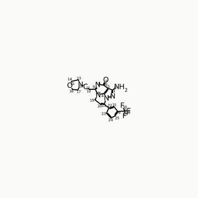 Nc1nn2c3c1c(=O)nc(CCN1CCOCC1)n3CC=C2c1cccc(C(F)(F)F)c1